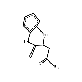 NC(=O)CC1Nc2ccccc2NC1=O